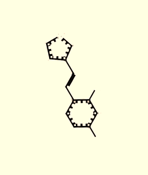 Clc1ccc(/C=C/c2cc[nH]c2)c(Cl)c1